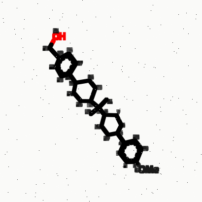 COc1ccc(C2CCC(C(C)(C)C3CCC(c4ccc(CO)cc4)CC3)CC2)cc1